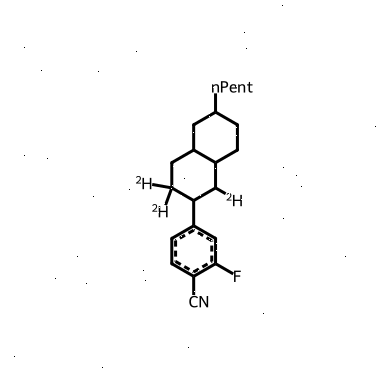 [2H]C1C2CCC(CCCCC)CC2CC([2H])([2H])C1c1ccc(C#N)c(F)c1